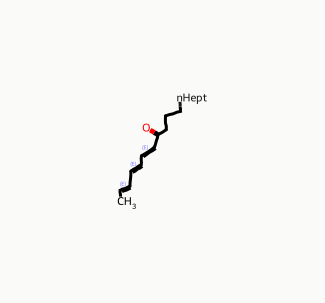 C/C=C/C=C/C=C/C(=O)CCCCCCCCCC